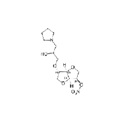 O=[N+]([O-])O[C@@H]1CO[C@H]2[C@@H]1OC[C@@H]2OCC(O)CN1CCCC1